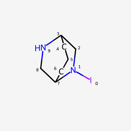 IN1CC2CCCC1CN2